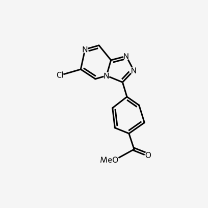 COC(=O)c1ccc(-c2nnc3cnc(Cl)cn23)cc1